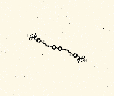 CCOC(Cc1ccc(OC/C=C/C#Cc2ccc(-c3ccc(C#C/C=C/COc4ccc(CC(OCC)C(=O)O)cc4)cc3)cc2)cc1)C(=O)O